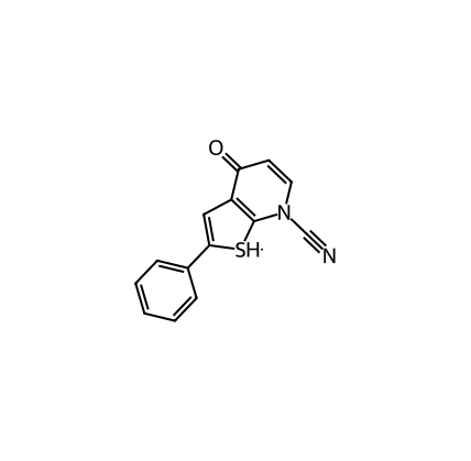 N#Cn1ccc(=O)c2c1[SH]C(c1ccccc1)=C2